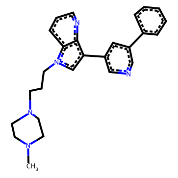 CN1CCN(CCCn2cc(-c3cncc(-c4ccccc4)c3)c3ncccc32)CC1